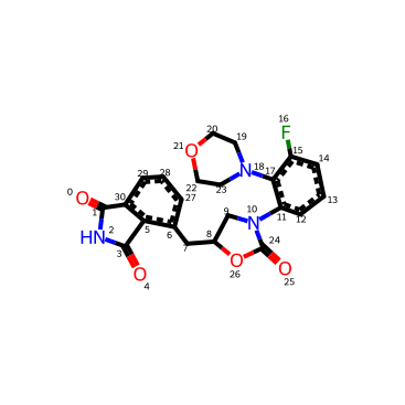 O=C1NC(=O)c2c(CC3CN(c4cccc(F)c4N4CCOCC4)C(=O)O3)cccc21